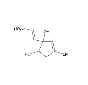 N#CC1=CC(O)(/C=C/C(=O)O)C(O)C1